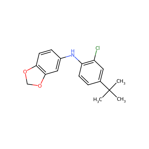 CC(C)(C)c1ccc(Nc2ccc3c(c2)OCO3)c(Cl)c1